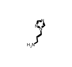 NCC=Cn1cncn1